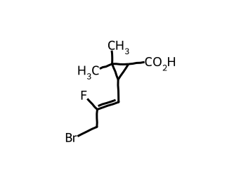 CC1(C)C(C=C(F)CBr)C1C(=O)O